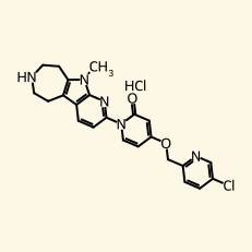 Cl.Cn1c2c(c3ccc(-n4ccc(OCc5ccc(Cl)cn5)cc4=O)nc31)CCNCC2